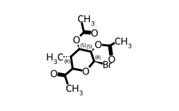 CC(=O)O[C@@H]1[C@H](OC(C)=O)[C@@H](Br)OC(C(C)=O)[C@@H]1C